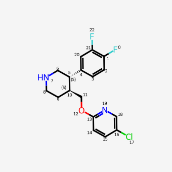 Fc1ccc([C@H]2CNCC[C@@H]2COc2ccc(Cl)cn2)cc1F